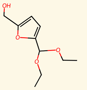 CCOC(OCC)c1ccc(CO)o1